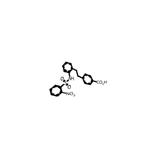 O=C(O)c1ccc(CCc2ccccc2NS(=O)(=O)c2ccccc2[N+](=O)[O-])cc1